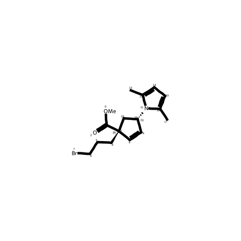 COC(=O)[C@@]1(CCCBr)C=C[C@@H](n2c(C)ccc2C)C1